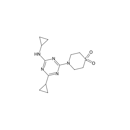 O=S1(=O)CCN(c2nc(NC3CC3)nc(C3CC3)n2)CC1